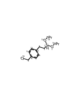 CCCO[SiH](CCc1ccc(CCl)cc1)OCCC